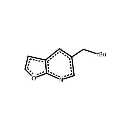 CC(C)(C)Cc1cnc2occc2c1